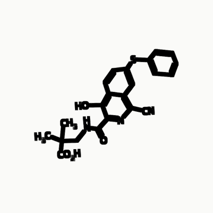 CC(C)(CNC(=O)c1nc(C#N)c2cc(Sc3ccccc3)ccc2c1O)C(=O)O